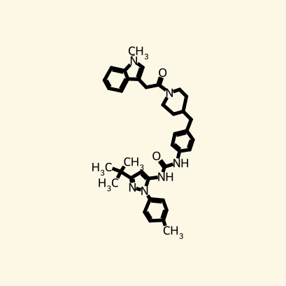 Cc1ccc(-n2nc(C(C)(C)C)cc2NC(=O)Nc2ccc(CC3CCN(C(=O)Cc4cn(C)c5ccccc45)CC3)cc2)cc1